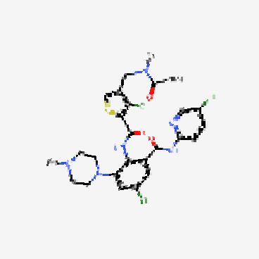 CCN1CCN(c2cc(Cl)cc(C(=O)Nc3ccc(Cl)cn3)c2NC(=O)c2scc(CN(CC)C(=O)NC)c2Cl)CC1